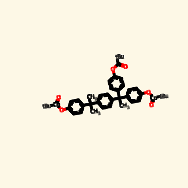 CC(C)(C)C(=O)Oc1ccc(C(C)(c2ccc([O][Co](=[O])[C](C)(C)C)cc2)c2ccc(C(C)(C)c3ccc([O][Co](=[O])[C](C)(C)C)cc3)cc2)cc1